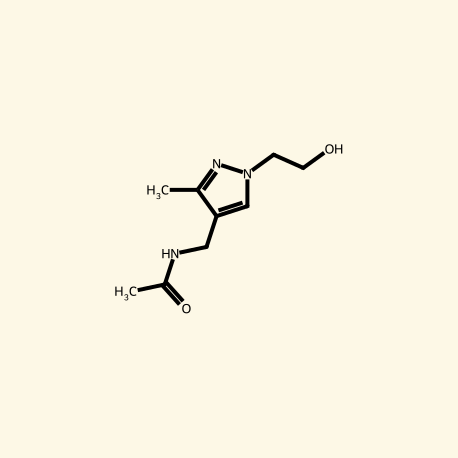 CC(=O)NCc1cn(CCO)nc1C